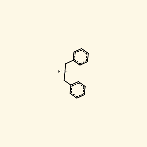 [H-].c1ccc([CH2][In+][CH2]c2ccccc2)cc1